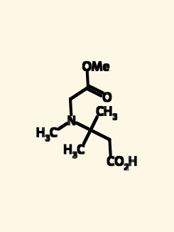 COC(=O)CN(C)C(C)(C)CC(=O)O